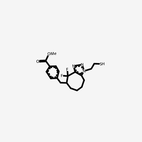 COC(=O)c1ccc(CC2CCCCc3c(nnn3CCS)C2(F)F)cc1